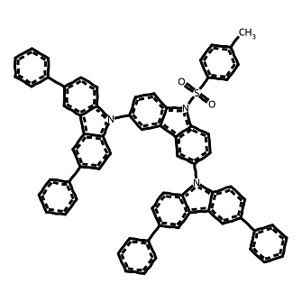 Cc1ccc(S(=O)(=O)n2c3ccc(-n4c5ccc(-c6ccccc6)cc5c5cc(-c6ccccc6)ccc54)cc3c3cc(-n4c5ccc(-c6ccccc6)cc5c5cc(-c6ccccc6)ccc54)ccc32)cc1